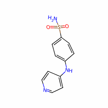 NS(=O)(=O)c1ccc(Nc2ccncc2)cc1